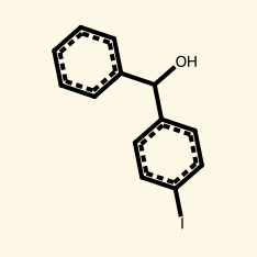 OC(c1ccccc1)c1ccc(I)cc1